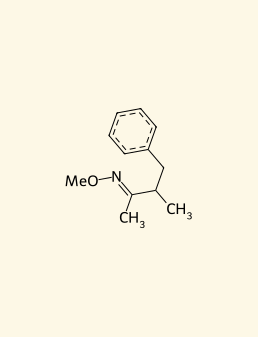 CON=C(C)C(C)Cc1ccccc1